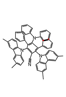 Cc1ccc2c(c1)c1cc(C)ccc1n2-c1c(C#N)c(-n2c3ccc(C)cc3c3cc(C)ccc32)c(-c2ccccc2)c(N(c2ccccc2)c2ccccc2)c1-c1ccccc1